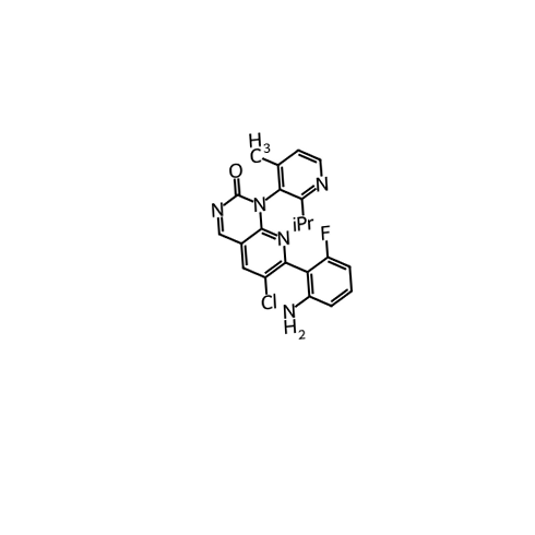 Cc1ccnc(C(C)C)c1-n1c(=O)ncc2cc(Cl)c(-c3c(N)cccc3F)nc21